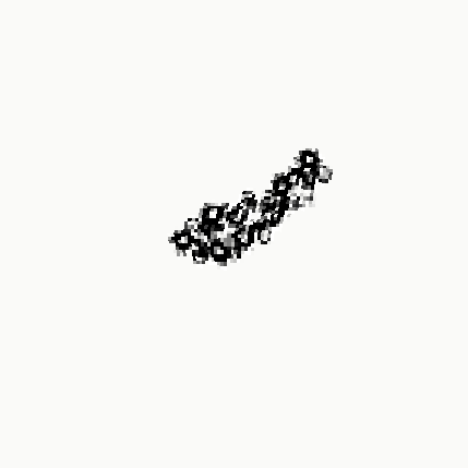 CC(C)(C)C(=O)N1CCC[C@@H](c2cccc(C(=O)N[C@@H](C(=O)N3CCC(OC4CCN(CC(=O)N5CCN(C(=O)c6cc(Cc7n[nH]c(=O)c8ccccc78)ccc6F)CC5)CC4)CC3)C3CCCCC3)c2F)C1